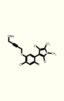 COCC#CCOc1cc(-c2c(Cl)c(C(F)(F)F)n(C)c2Cl)c(F)cc1Cl